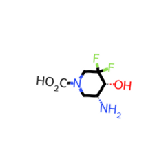 N[C@@H]1CN(C(=O)O)CC(F)(F)[C@@H]1O